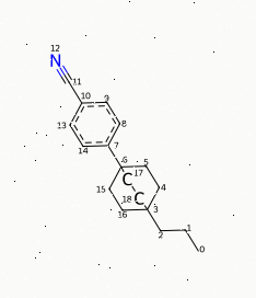 CCCC12CCC(c3ccc(C#N)cc3)(CC1)CC2